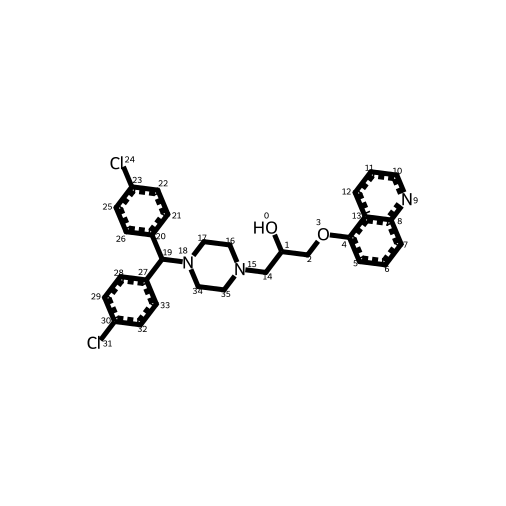 OC(COc1cccc2ncccc12)CN1CCN(C(c2ccc(Cl)cc2)c2ccc(Cl)cc2)CC1